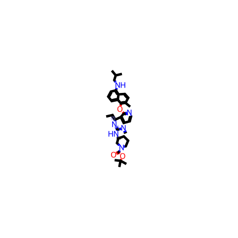 C=N/C(=N\C(=C/C)c1cccnc1Oc1c(C)ccc2c(NCC(C)C)cccc12)N[C@H]1CCCN(C(=O)OC(C)(C)C)C1